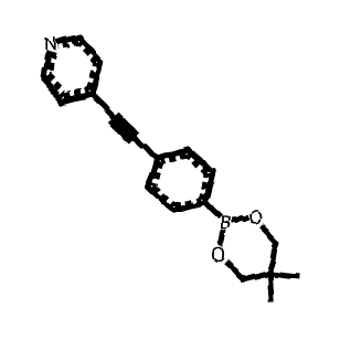 CC1(C)COB(c2ccc(C#Cc3ccncc3)cc2)OC1